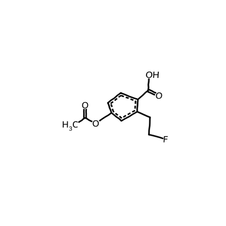 CC(=O)Oc1ccc(C(=O)O)c(CCF)c1